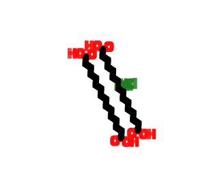 Cl.Cl.O=C(O)CCCCCCCCCCCCCCC(=O)O.O=C(O)CCCCCCCCCCCCCCC(=O)O